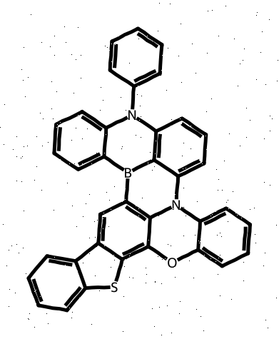 c1ccc(N2c3ccccc3B3c4cc5c(sc6ccccc65)c5c4N(c4ccccc4O5)c4cccc2c43)cc1